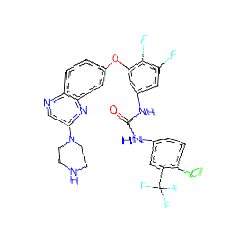 O=C(Nc1cc(F)c(F)c(Oc2ccc3ncc(N4CCNCC4)nc3c2)c1)Nc1ccc(Cl)c(C(F)(F)F)c1